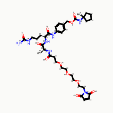 CC(=O)C1(NC(=O)OCc2ccc(NC(=O)[C@H](CCCNC(N)=O)NC(=O)[C@@H](NC(=O)CCOCCOCCOCCN3C(=O)C=CC3=O)C(C)C)cc2)CCCC1